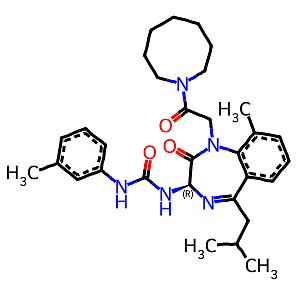 Cc1cccc(NC(=O)N[C@@H]2N=C(CC(C)C)c3cccc(C)c3N(CC(=O)N3CCCCCCC3)C2=O)c1